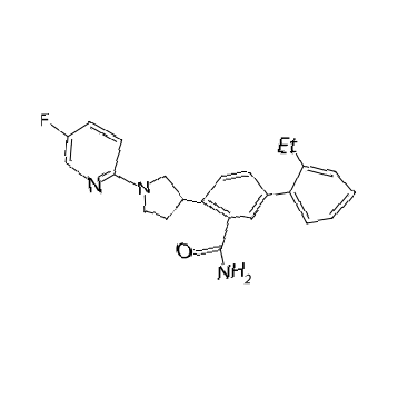 CCc1ccccc1-c1ccc(C2CCN(c3ccc(F)cn3)C2)c(C(N)=O)c1